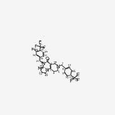 O=C1C2=C(CCN(Cc3ccc(C(F)(F)F)cc3)C2)N2CCN=C2N1Cc1ccc(C(F)(F)F)c(F)c1